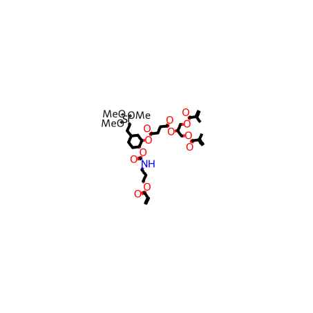 C=CC(=O)OCCCNC(=O)OC1CCC(CC[Si](OC)(OC)OC)CC1OC(=O)CCC(=O)OC(COC(=O)C(=C)C)COC(=O)C(=C)C